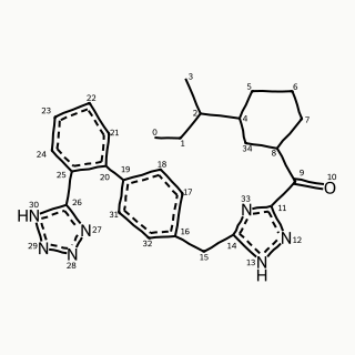 CCC(C)C1CCCC(C(=O)c2n[nH]c(Cc3ccc(-c4ccccc4-c4nnn[nH]4)cc3)n2)C1